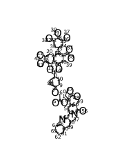 CC[C@@]1(OC(=O)COc2ccc(C(=O)O[C@H]3c4cc5c(cc4[C@@H](c4cc(OC)c(OC)c(OC)c4)C4C(=O)OCC43)OCO5)cc2)C(=O)OCc2c1cc1n(c2=O)Cc2cc3ccccc3nc2-1